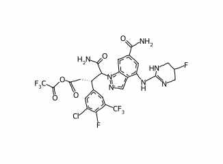 NC(=O)c1cc(NC2=NCC(F)CN2)c2cnn(C(C(N)=O)[C@@H](CC(=O)OC(=O)C(F)(F)F)c3cc(Cl)c(F)c(C(F)(F)F)c3)c2c1